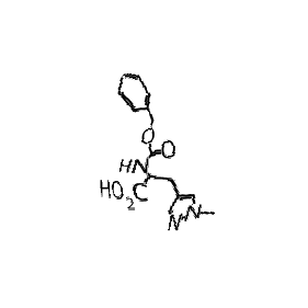 Cn1cc(CC(NC(=O)OCc2ccccc2)C(=O)O)cn1